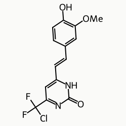 COc1cc(C=Cc2cc(C(F)(F)Cl)nc(=O)[nH]2)ccc1O